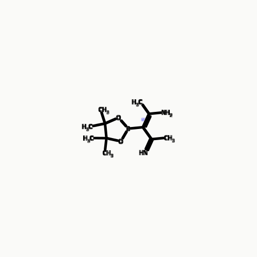 CC(=N)/C(B1OC(C)(C)C(C)(C)O1)=C(/C)N